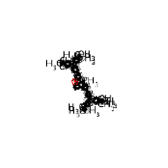 Cc1c2c3c(cccc3c3cc(-c4ccc(B(c5ccc(C(C)(C)C)cc5)c5ccc(C(C)(C)C)cc5)cc4)ccc13)Oc1cc(-c3ccc(B(c4ccc(C(C)(C)C)cc4)c4ccc(C(C)(C)C)cc4)cc3)ccc1-2